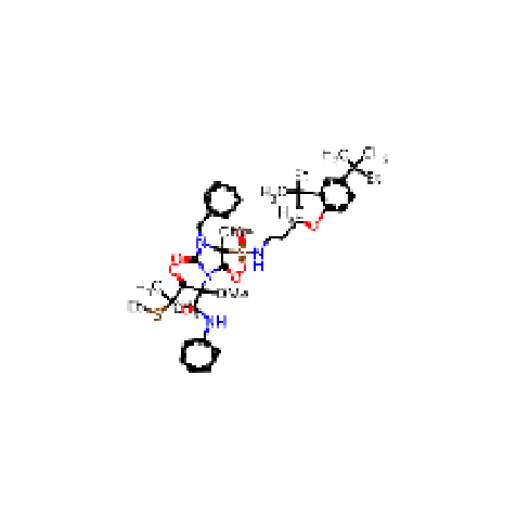 CCSC(C)(C)C(=O)C(OC)(C(=O)Nc1ccccc1)N1C(=O)N(Cc2ccccc2)C(OC)(S(=O)(=O)NCCCOc2ccc(C(C)(C)CC)cc2C(C)(C)CC)C1=O